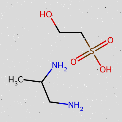 CC(N)CN.O=S(=O)(O)CCO